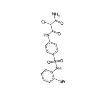 CCCc1ccccc1NS(=O)(=O)c1ccc(NC(=O)C(Cl)C(N)=O)cc1